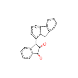 O=C1C(=O)C(c2cccc3c2Cc2ccccc2-3)c2ccccc21